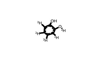 [2H]Oc1c([2H])c([2H])c([2H])c([2H])c1O